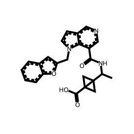 CC(NC(=O)c1cncc2ccn(Cc3cc4ccccc4o3)c12)C12CC1(C(=O)O)C2